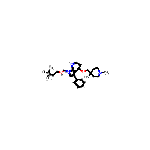 CN1CCC(C)(COc2ccnc3c2c(-c2ccccc2)cn3COCC[Si](C)(C)C)CC1